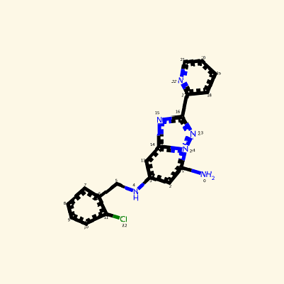 Nc1cc(NCc2ccccc2Cl)cc2nc(-c3ccccn3)nn12